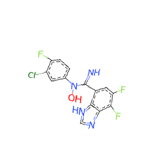 N=C(c1cc(F)c(F)c2nc[nH]c12)N(O)c1ccc(F)c(Cl)c1